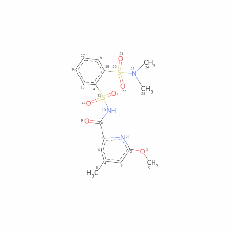 COc1cc(C)cc(C(=O)NS(=O)(=O)c2ccccc2S(=O)(=O)N(C)C)n1